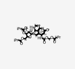 CC(C)C(=O)OCOC(=O)NC1=CC(=O)Nc2ncnc3c2c1cn3C1OC(COC(=O)C(C)C)C(OC(=O)C(C)C)C1(C)O